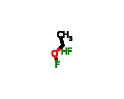 CCOF.F